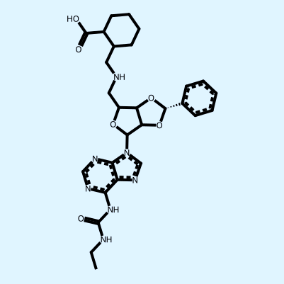 CCNC(=O)Nc1ncnc2c1ncn2C1OC(CNCC2CCCCC2C(=O)O)C2O[C@H](c3ccccc3)OC21